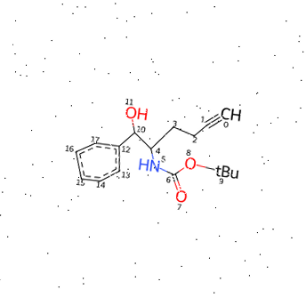 C#CCCC(NC(=O)OC(C)(C)C)C(O)c1ccccc1